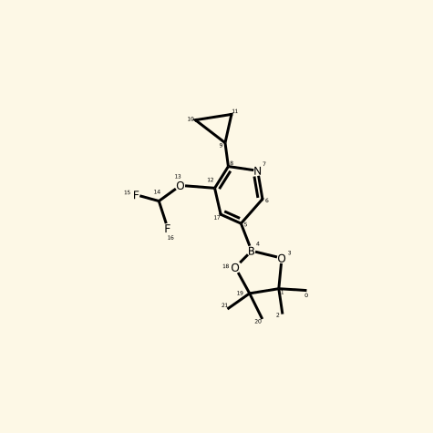 CC1(C)OB(c2cnc(C3CC3)c(OC(F)F)c2)OC1(C)C